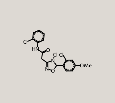 COc1ccc(C2ON=C(CC(=O)Nc3ccccc3Cl)N2Cl)c(Cl)c1